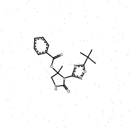 CC(C)(C)c1nc(N2C(=O)NCC2(C)OC(=O)c2ccccc2)no1